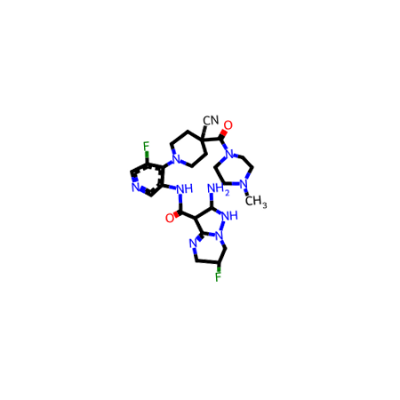 CN1CCN(C(=O)C2(C#N)CCN(c3c(F)cncc3NC(=O)C3C4=NCC(F)CN4NC3N)CC2)CC1